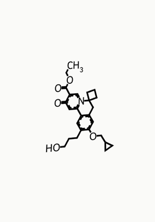 CCOC(=O)c1cn2c(cc1=O)-c1cc(CCCO)c(OCC3CC3)cc1CC21CCC1